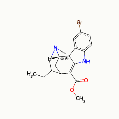 CCC1CN2CC[C@]34C(=C(C(=O)OC)C1C[C@H]23)Nc1ccc(Br)cc14